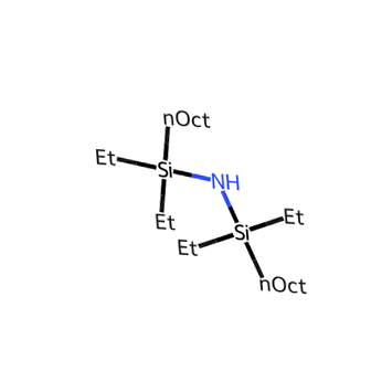 CCCCCCCC[Si](CC)(CC)N[Si](CC)(CC)CCCCCCCC